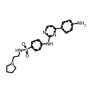 Nc1ccc(-c2ccnc(Nc3ccc(S(=O)(=O)NCCN4CCCC4)cc3)n2)cc1